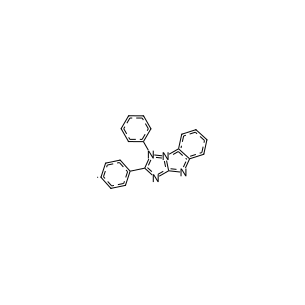 [c]1ccc(-c2nc3nc4ccccc4n3n2-c2ccccc2)cc1